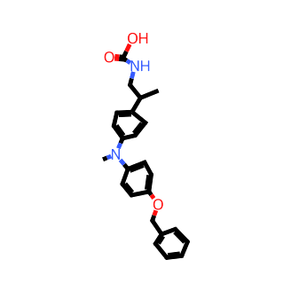 CC(CNC(=O)O)c1ccc(N(C)c2ccc(OCc3ccccc3)cc2)cc1